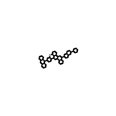 c1ccc(-c2ccc3cc(-c4cc5c6cccc7c6c(cc5c5ccccc45)-c4ccc(-c5c6ccccc6cc6ccccc56)cc4O7)ccc3c2)cc1